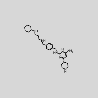 NC1=CC(N2CCNCC2)=NC(NCc2ccc(CNCCCNC3CCCCC3)cc2)N1